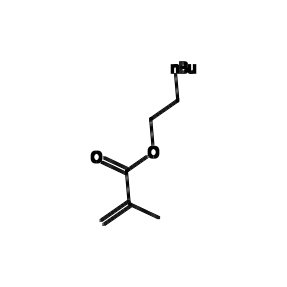 C=C(C)C(=O)OCCCC[CH]C